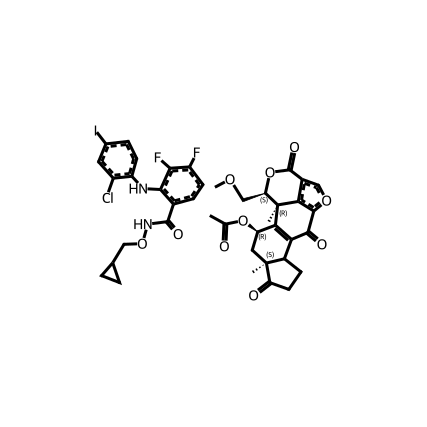 COC[C@H]1OC(=O)c2coc3c2[C@@]1(C)C1=C(C3=O)C2CCC(=O)[C@@]2(C)C[C@H]1OC(C)=O.O=C(NOCC1CC1)c1ccc(F)c(F)c1Nc1ccc(I)cc1Cl